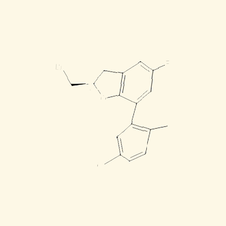 Cc1ccc(Cl)cc1-c1cc(F)cc2c1O[C@@H](CBr)C2